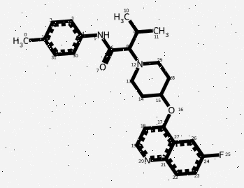 Cc1ccc(NC(=O)C(C(C)C)N2CCC(Oc3ccnc4ccc(F)cc34)CC2)cc1